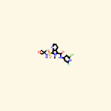 Cn1c(C(=O)Nc2cc(F)nc(Cl)c2)c2cccnc2c1S(=O)(=O)NC1(C)COC1